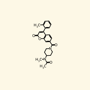 CC(=O)N(C)C1CCN(C(=O)c2ccc3c(-c4ccccc4C)cc(=O)oc3c2)CC1